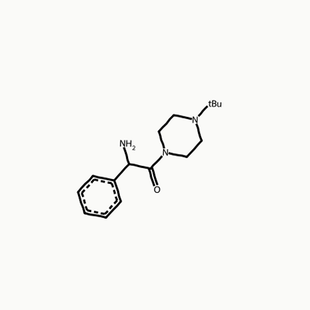 CC(C)(C)N1CCN(C(=O)C(N)c2ccccc2)CC1